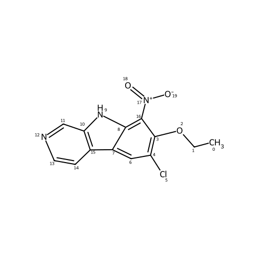 CCOc1c(Cl)cc2c([nH]c3cnccc32)c1[N+](=O)[O-]